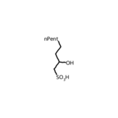 CCCCCCCC(O)CS(=O)(=O)O